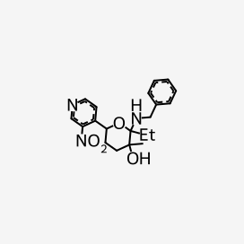 CCC1(NCc2ccccc2)OC(c2ccncc2[N+](=O)[O-])CCC1(C)O